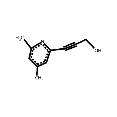 Cc1cc(C)nc(C#CCO)c1